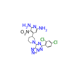 Nc1cc(C2CCCN(c3nc(-c4ccc(Cl)cc4Cl)nn4cnnc34)C2)c([N+](=O)[O-])c(N)n1